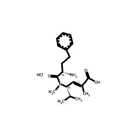 C/C(=C\[C@H](C(C)C)N(C)C(=O)[C@@H](N)CCc1ccccc1)C(=O)O.Cl